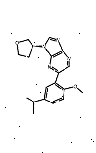 COc1ccc(C(C)C)cc1-c1cnc2ncn([C@H]3CCOC3)c2n1